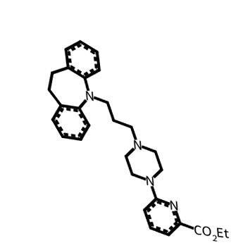 CCOC(=O)c1cccc(N2CCN(CCCN3c4ccccc4CCc4ccccc43)CC2)n1